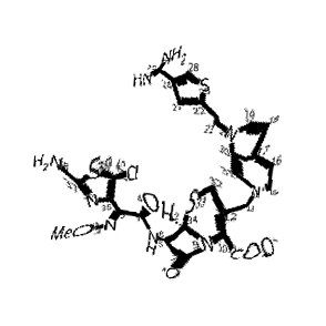 CON=C(C(=O)N[C@@H]1C(=O)N2C(C(=O)[O-])=C(C[n+]3ccc4ccn(Cc5cc(C(=N)N)cs5)c4c3)CS[C@H]12)c1nc(N)sc1Cl